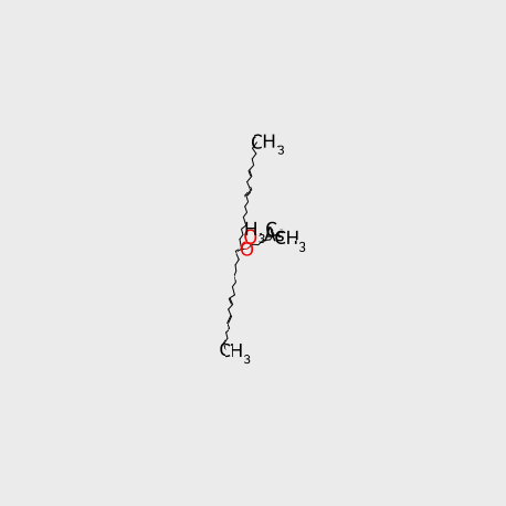 CCCCCC=CCC=CCCCCCCCCC(CCCCCCCCC=CCC=CCCCCC)OC(=O)CCC[As](C)C